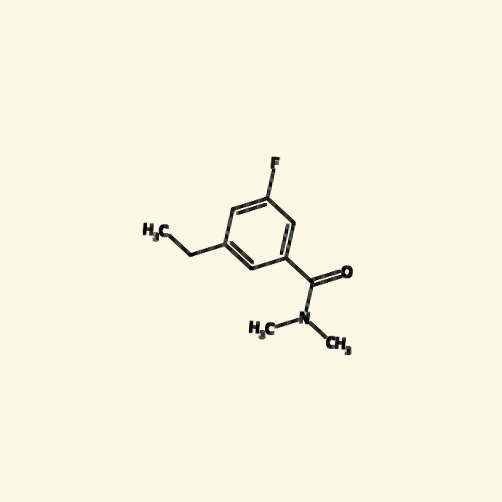 CCc1cc(F)cc(C(=O)N(C)C)c1